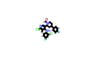 Cc1c(Cl)ncc(C2CC(c3ccc(F)cc3)CCN2C=O)c1Nc1ccc(F)cc1Cl